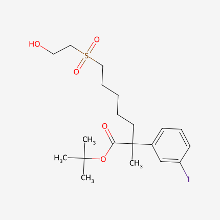 CC(C)(C)OC(=O)C(C)(CCCCCS(=O)(=O)CCO)c1cccc(I)c1